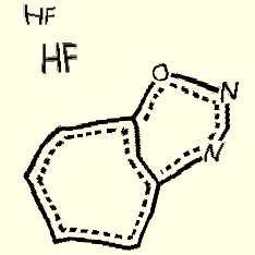 F.F.c1ccc2onnc2c1